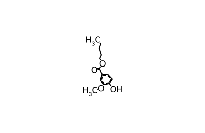 CCCCCOC(=O)c1ccc(O)c(OC)c1